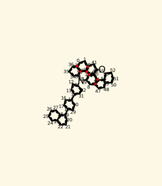 c1ccc(-c2ccccc2N(c2ccc(-c3ccc(-c4cccc5ccccc45)cc3)cc2)c2ccccc2-c2ccc3c(c2)-c2cccc4cccc(c24)O3)cc1